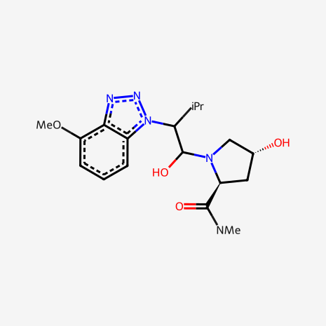 CNC(=O)[C@@H]1C[C@@H](O)CN1C(O)C(C(C)C)n1nnc2c(OC)cccc21